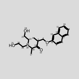 CC(COc1ccc2ccccc2c1)C(=O)C(C)N(CCO)CCO